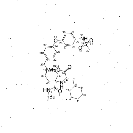 CCCCNC(=O)C1(N[C@@H](CC2CCCCC2)C(=O)OC)CCN(Cc2ccc(Oc3ccc(NS(C)(=O)=O)cc3)cc2)CC1